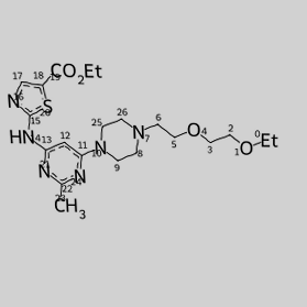 CCOCCOCCN1CCN(c2cc(Nc3ncc(C(=O)OCC)s3)nc(C)n2)CC1